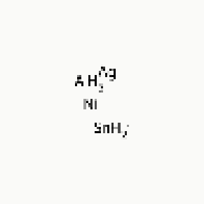 [Ag].[AlH3].[Ni].[SnH2]